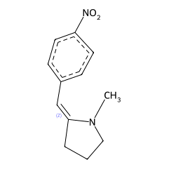 CN1CCC/C1=C/c1ccc([N+](=O)[O-])cc1